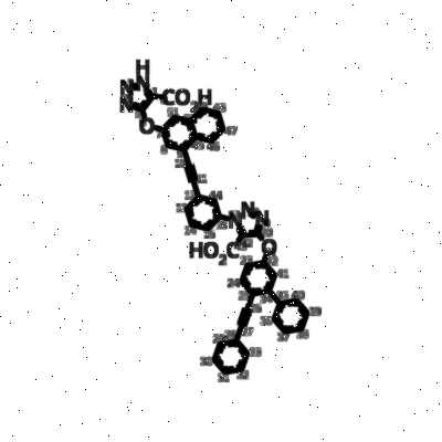 O=C(O)c1[nH]nnc1Oc1cc(C#Cc2cccc(-n3nnc(Oc4ccc(C#Cc5ccccc5)c(-c5ccccc5)c4)c3C(=O)O)c2)c2ccccc2c1